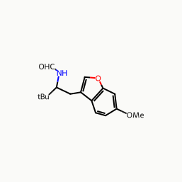 COc1ccc2c(CC(NC=O)C(C)(C)C)coc2c1